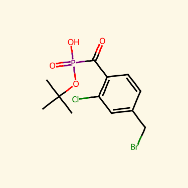 CC(C)(C)OP(=O)(O)C(=O)c1ccc(CBr)cc1Cl